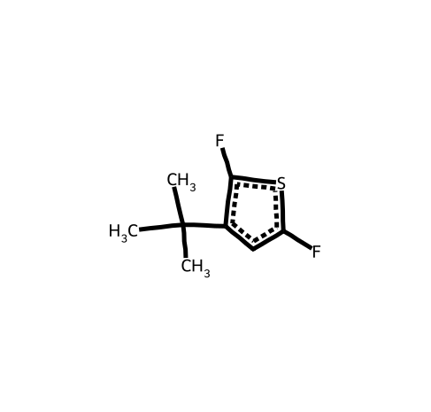 CC(C)(C)c1cc(F)sc1F